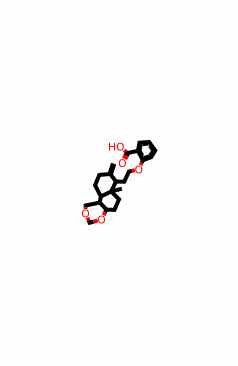 C=C1CCC2C3COCOC3CCC2(C)C1CCOc1ccccc1C(=O)O